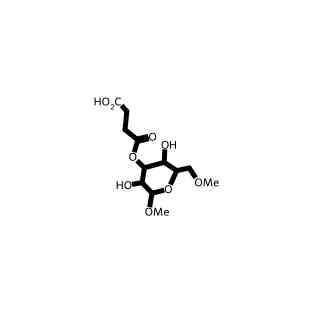 COCC1OC(OC)C(O)C(OC(=O)CCC(=O)O)C1O